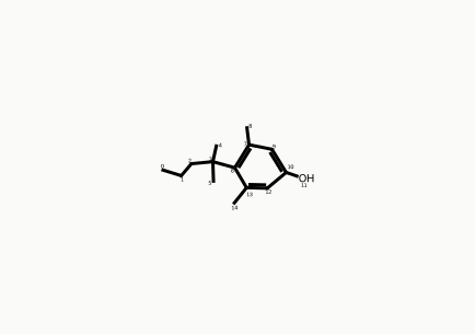 CCCC(C)(C)c1c(C)cc(O)cc1C